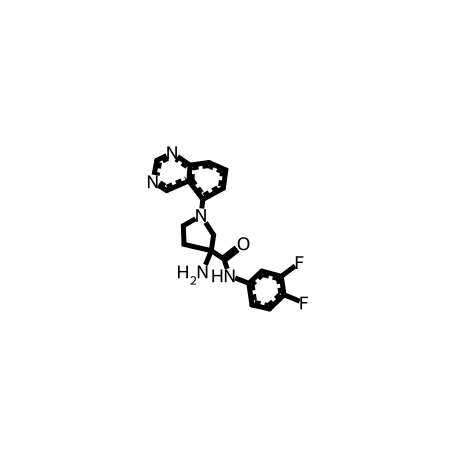 NC1(C(=O)Nc2ccc(F)c(F)c2)CCN(c2cccc3ncncc23)C1